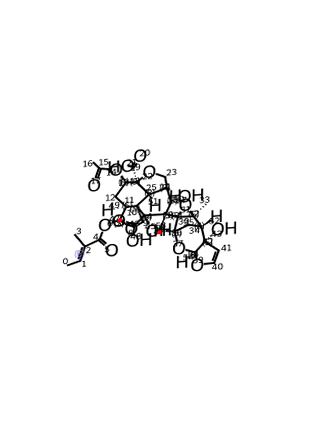 C/C=C(\C)C(=O)O[C@@H]1OC[C@@]23[C@@H]1C[C@@H](OC(C)=O)[C@@]1(C(=O)O)OC[C@@H]([C@@H]12)[C@H](O)[C@](C)([C@]12O[C@@]1(C)[C@H]1C[C@@H]2O[C@@H]2OC=C[C@@]21O)[C@]3(O)C(=O)O